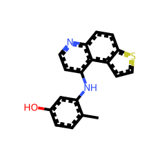 Cc1ccc(O)cc1Nc1ccnc2ccc3sccc3c12